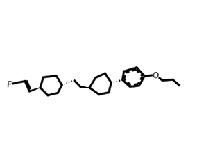 CCCOc1ccc([C@H]2CC[C@H](CC[C@H]3CC[C@H](C=CF)CC3)CC2)cc1